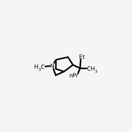 CCCC(C)(CC)C1CC2CC1CN2C